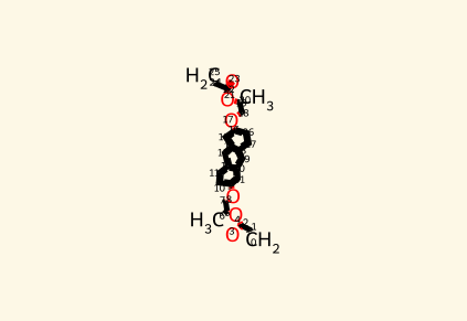 C=CC(=O)OC(C)COc1ccc2cc3cc(OCC(C)OC(=O)C=C)ccc3cc2c1